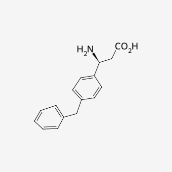 N[C@@H](CC(=O)O)c1ccc(Cc2ccccc2)cc1